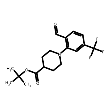 CC(C)(C)OC(=O)C1CCN(c2cc(C(F)(F)F)ccc2C=O)CC1